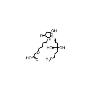 C#CC(O)(CC=C[C@H]1[C@H](O)CC(=O)[C@@H]1CCCCOCC(=O)O)CCCC